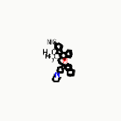 CC1(C)c2cc(C#N)ccc2-c2c1c1c(c3ccccc23)OC(c2ccc(N3CCCCC3)cc2)(c2ccc3c(c2)CCC=C3)C=C1